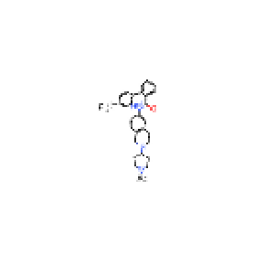 CC(=O)N1CCC(N2CCc3cc(NC(=O)c4ccccc4-c4ccc(C(F)(F)F)cc4)ccc3C2)CC1